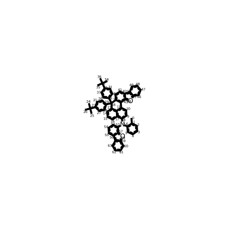 Cc1ccccc1N(c1ccc2c3c(cccc13)C(c1ccc(C(C)(C)C)cc1)(c1ccc(C(C)(C)C)cc1)c1ccc3c(oc4ccccc43)c1-2)c1cccc2c1oc1ccccc12